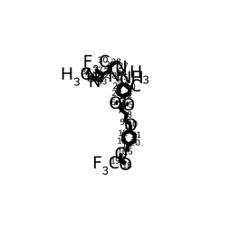 Cc1cc(S(=O)(=O)CCCOC2CCC(COC(=O)C(F)(F)F)CC2)ccc1Nc1ncc(C(F)(F)F)c(-c2cnn(C)c2)n1